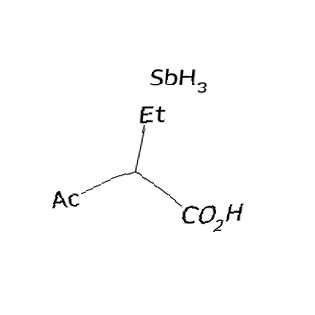 CCC(C(C)=O)C(=O)O.[SbH3]